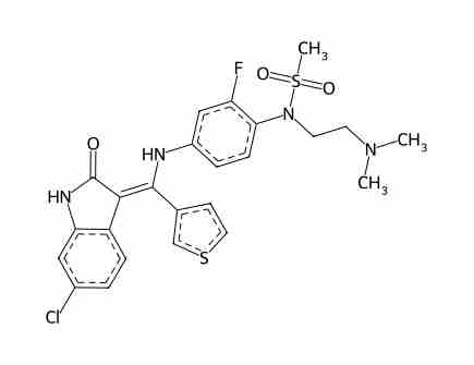 CN(C)CCN(c1ccc(N/C(=C2\C(=O)Nc3cc(Cl)ccc32)c2ccsc2)cc1F)S(C)(=O)=O